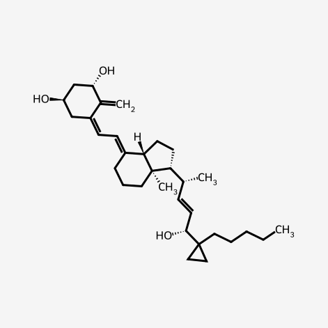 C=C1/C(=C\C=C2/CCC[C@]3(C)[C@@H]([C@H](C)/C=C/[C@@H](O)C4(CCCCC)CC4)CC[C@@H]23)C[C@@H](O)C[C@@H]1O